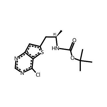 C[C@H](Cc1cc2ncnc(Cl)c2s1)NC(=O)OC(C)(C)C